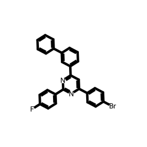 Fc1ccc(-c2nc(-c3ccc(Br)cc3)cc(-c3cccc(-c4ccccc4)c3)n2)cc1